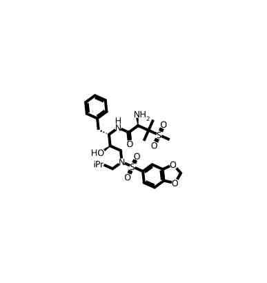 CC(C)CN(C[C@@H](O)[C@H](Cc1ccccc1)NC(=O)[C@@H](N)C(C)(C)S(C)(=O)=O)S(=O)(=O)c1ccc2c(c1)OCO2